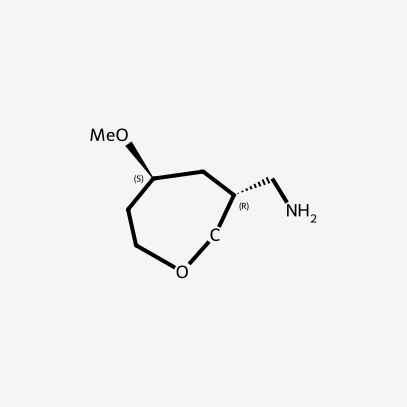 CO[C@@H]1CCOC[C@@H](CN)C1